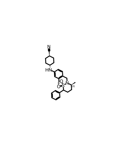 C[C@H]1CCC(c2ccccc2)S(=O)(=O)N1Cc1ccc(N[C@H]2CC[C@H](C#N)CC2)cc1F